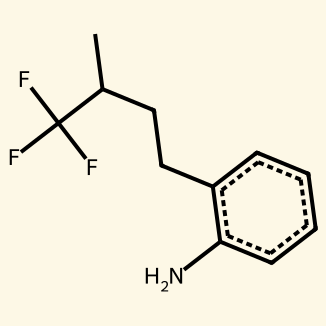 CC(CCc1ccccc1N)C(F)(F)F